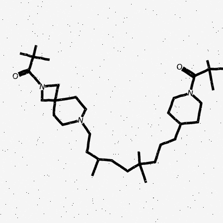 CC(CCN1CCC2(CC1)CN(C(=O)C(C)(C)C)C2)CCC(C)(C)CCCC1CCN(C(=O)C(C)(C)C)CC1